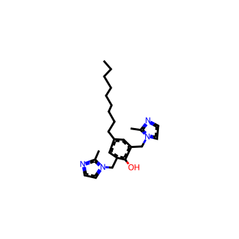 CCCCCCCCCc1cc(Cn2ccnc2C)c(O)c(Cn2ccnc2C)c1